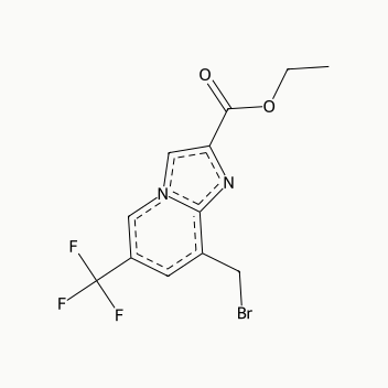 CCOC(=O)c1cn2cc(C(F)(F)F)cc(CBr)c2n1